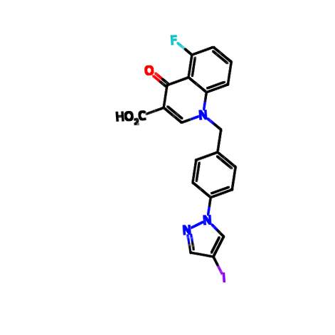 O=C(O)c1cn(Cc2ccc(-n3cc(I)cn3)cc2)c2cccc(F)c2c1=O